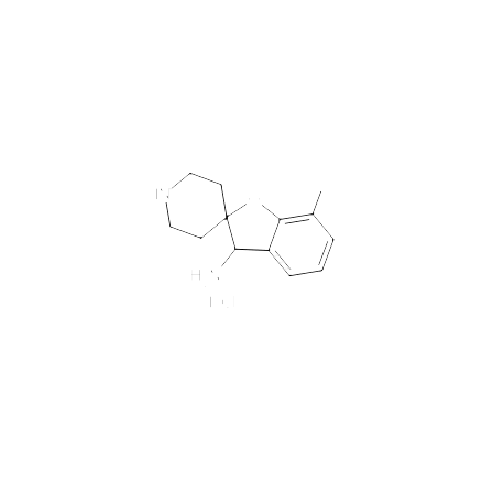 Cl.NC1c2cccc(F)c2OC12CCNCC2